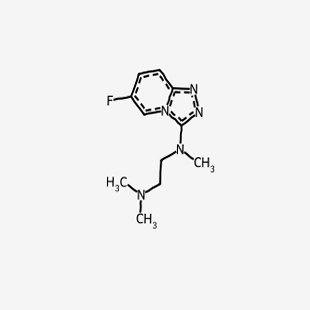 CN(C)CCN(C)c1nnc2ccc(F)cn12